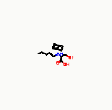 CCCCCNC(CO)C(=O)O.c1cc2ccc1-2